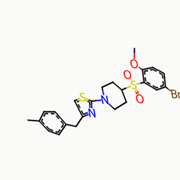 COc1ccc(Br)cc1S(=O)(=O)C1CCN(c2nc(Cc3ccc(C)cc3)cs2)CC1